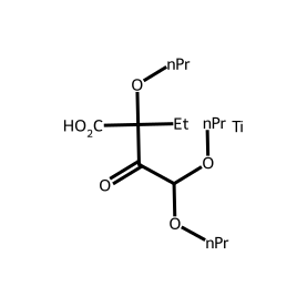 CCCOC(OCCC)C(=O)C(CC)(OCCC)C(=O)O.[Ti]